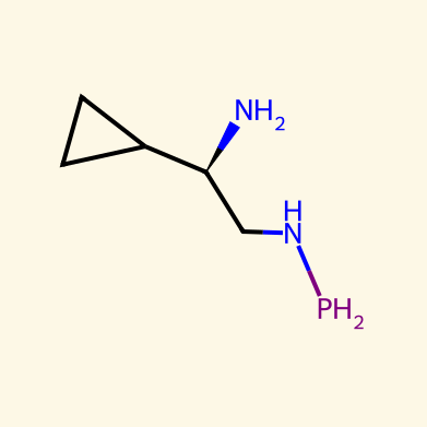 N[C@@H](CNP)C1CC1